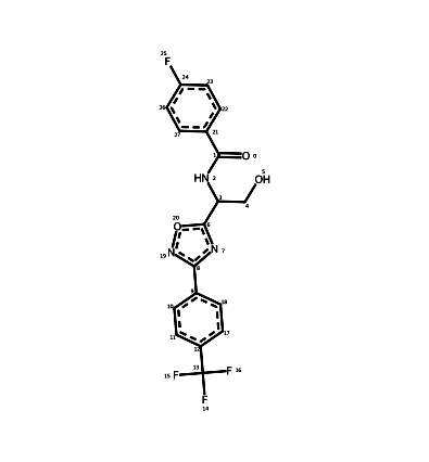 O=C(NC(CO)c1nc(-c2ccc(C(F)(F)F)cc2)no1)c1ccc(F)cc1